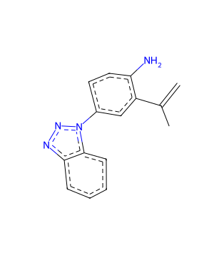 C=C(C)c1cc(-n2nnc3ccccc32)ccc1N